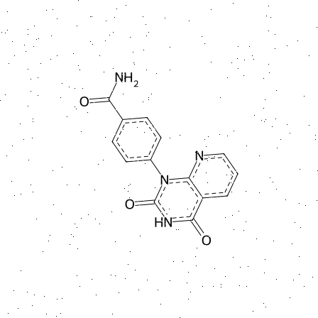 NC(=O)c1ccc(-n2c(=O)[nH]c(=O)c3cccnc32)cc1